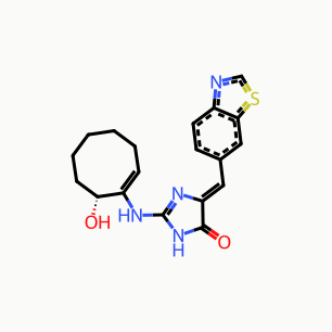 O=C1NC(NC2=CCCCCC[C@H]2O)=N/C1=C\c1ccc2ncsc2c1